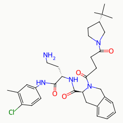 Cc1cc(NC(=O)[C@H](CCN)NC(=O)[C@@H]2Cc3ccccc3CN2C(=O)CCC(=O)N2CC[C@H](C(C)(C)C)C2)ccc1Cl